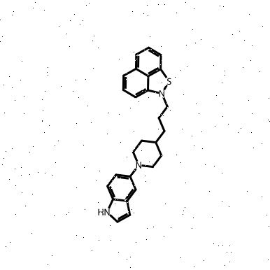 c1cc2c3c(cccc3c1)N(CCCC1CCN(c3ccc4[nH]ccc4c3)CC1)S2